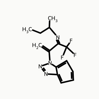 C=C(/C(=N\C(C)CC)C(F)(F)F)n1nnc2ccccc21